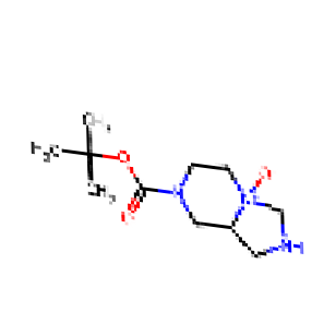 CC(C)(C)OC(=O)N1CC[N+]2([O-])CNCC2C1